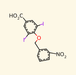 O=C(O)c1cc(I)c(OCc2cccc([N+](=O)[O-])c2)c(I)c1